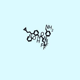 NCc1cccc(-n2nc(C(F)(F)F)cc2C(=O)Nc2cccc(C(CCC3CC3)n3ccccc3=O)c2)c1